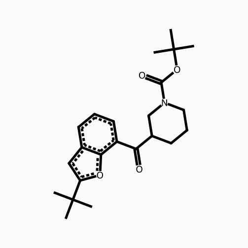 CC(C)(C)OC(=O)N1CCCC(C(=O)c2cccc3cc(C(C)(C)C)oc23)C1